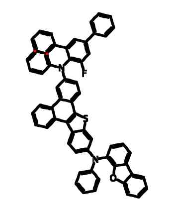 Fc1cc(-c2ccccc2)cc(-c2ccccc2)c1N(c1ccccc1)c1ccc2c(c1)c1ccccc1c1c3ccc(N(c4ccccc4)c4cccc5c4oc4ccccc45)cc3sc21